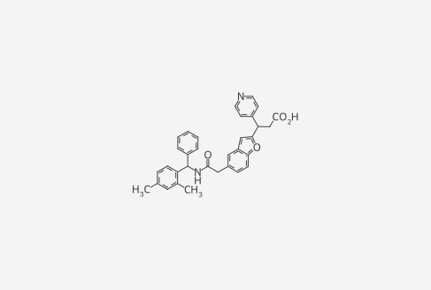 Cc1ccc(C(NC(=O)Cc2ccc3oc(C(CC(=O)O)c4ccncc4)cc3c2)c2ccccc2)c(C)c1